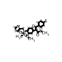 CNC(=O)c1c(-c2ccc(F)cc2)oc2cc(N(Cc3cscn3)S(C)(=O)=O)c(OC)cc12